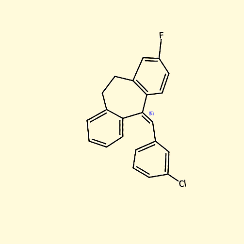 Fc1ccc2c(c1)CCc1ccccc1/C2=C\c1cccc(Cl)c1